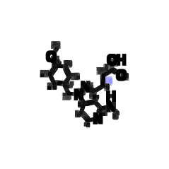 CNc1nccc2c1c(/C=C/C(=O)O)nn2Cc1ccc(OC)cc1